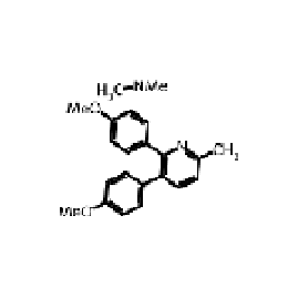 CNC.COc1ccc(-c2ccc(C)nc2-c2ccc(OC)cc2)cc1